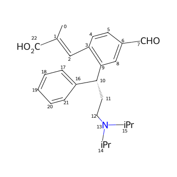 CC(=Cc1ccc(C=O)cc1[C@H](CCN(C(C)C)C(C)C)c1ccccc1)C(=O)O